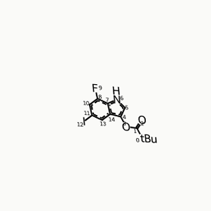 CC(C)(C)C(=O)Oc1c[nH]c2c(F)cc(I)cc12